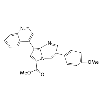 COC(=O)c1cc(-c2ccnc3ccccc23)c2ncc(-c3ccc(OC)cc3)cn12